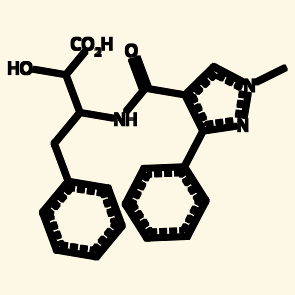 Cn1cc(C(=O)NC(Cc2ccccc2)C(O)C(=O)O)c(-c2ccccc2)n1